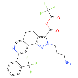 NCCCn1nc2c(c1C(=O)OC(=O)C(F)(F)F)CCc1cnc(-c3ccccc3C(F)(F)F)cc1-2